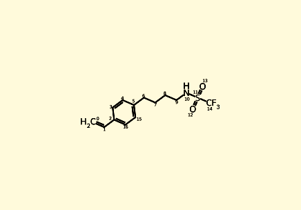 C=Cc1ccc(CCCCNS(=O)(=O)C(F)(F)F)cc1